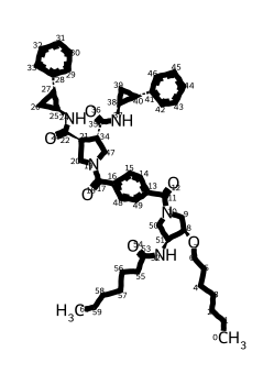 CCCCCCCO[C@@H]1CN(C(=O)c2ccc(C(=O)N3C[C@@H](C(=O)N[C@H]4C[C@@H]4c4ccccc4)[C@H](C(=O)N[C@H]4C[C@@H]4c4ccccc4)C3)cc2)C[C@@H]1NC(=O)CCCCCC